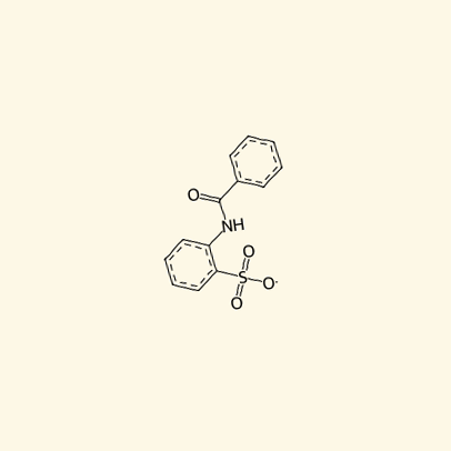 [O]S(=O)(=O)c1ccccc1NC(=O)c1ccccc1